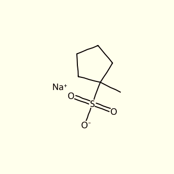 CC1(S(=O)(=O)[O-])CCCC1.[Na+]